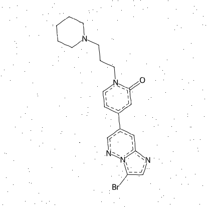 O=c1cc(-c2cnn3c(Br)cnc3c2)ccn1CCCN1CCCCC1